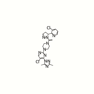 C=C(N1CCN(c2ncc(Cl)c(-n3nc(C)nc3C)n2)CC1)N1N=CCC1c1ncccc1Cl